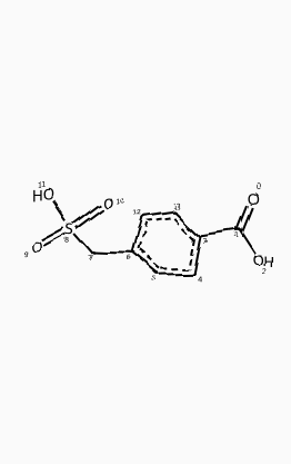 O=C(O)c1ccc(CS(=O)(=O)O)cc1